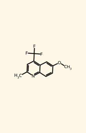 COc1ccc2nc(C)cc(C(F)(F)F)c2c1